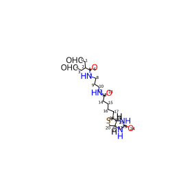 O=CCC(CC=O)C(=O)NCCCNC(=O)CCCC[C@@H]1SC[C@@H]2NC(=O)N[C@@H]21